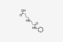 O=C(O)CCCNCCC(=O)Nc1ccccc1